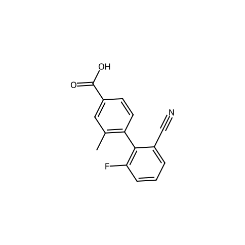 Cc1cc(C(=O)O)ccc1-c1c(F)cccc1C#N